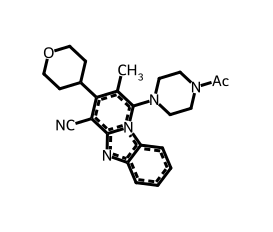 CC(=O)N1CCN(c2c(C)c(C3CCOCC3)c(C#N)c3nc4ccccc4n23)CC1